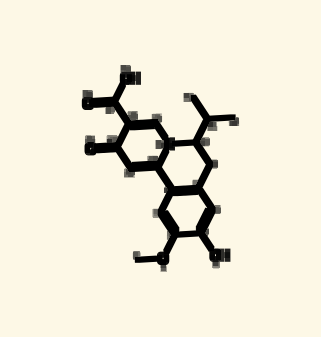 COc1cc2c(cc1O)CC(C(C)C)n1cc(C(=O)O)c(=O)cc1-2